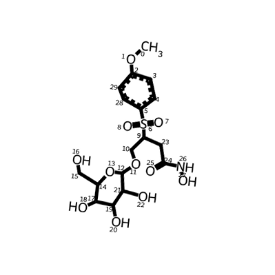 COc1ccc(S(=O)(=O)C(COC2OC(CO)C(O)C(O)C2O)CC(=O)NO)cc1